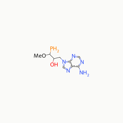 COC(P)C(O)Cn1cnc2c(N)ncnc21